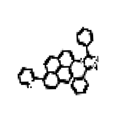 c1ccc(-c2nnc(-c3ccccc3)n2-c2ccc3ccc4c(-c5ccccn5)ccc5ccc2c3c54)cc1